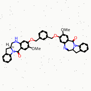 COc1cc2c(cc1OCc1cccc(COc3cc4c(cc3OC)C(=O)N3c5ccccc5C[C@H]3CN4)c1)N=CC1Cc3ccccc3N1C2=O